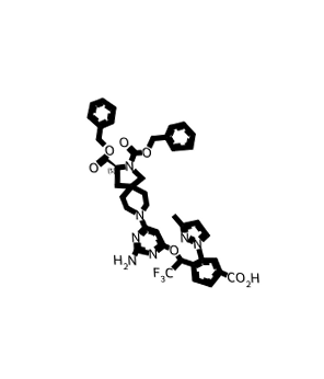 Cc1ccn(-c2cc(C(=O)O)ccc2C(Oc2cc(N3CCC4(CC3)C[C@@H](C(=O)OCc3ccccc3)N(C(=O)OCc3ccccc3)C4)nc(N)n2)C(F)(F)F)n1